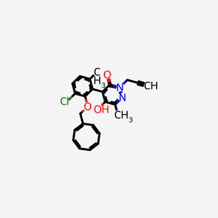 C#CCn1nc(C)c(O)c(-c2c(C)ccc(Cl)c2OCC2=C/C=C\C=C/C=C\2)c1=O